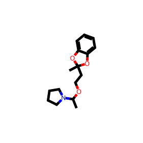 CC(OCCC1(C)Oc2ccccc2O1)N1CCCC1